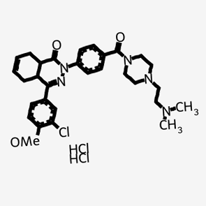 COc1ccc(C2=NN(c3ccc(C(=O)N4CCN(CCN(C)C)CC4)cc3)C(=O)C3CC=CCC23)cc1Cl.Cl.Cl